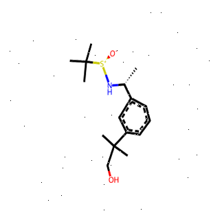 C[C@@H](N[S@+]([O-])C(C)(C)C)c1cccc(C(C)(C)CO)c1